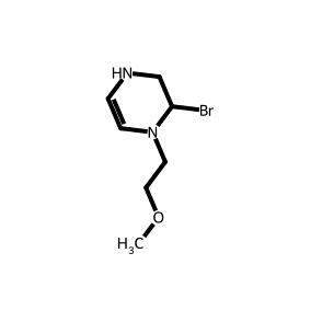 COCCN1C=CNCC1Br